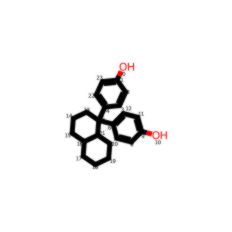 Oc1ccc(C2(c3ccc(O)cc3)CCCC3CCCCC32)cc1